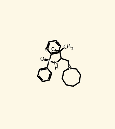 CC(C)C(CN1CCCCCCC1)NP(=O)(c1ccccc1)c1ccccc1